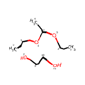 CCOC(C)OCC.OCCO